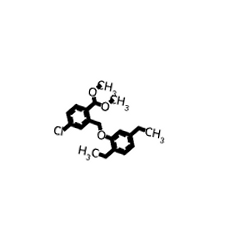 CCc1ccc(CC)c(OCc2cc(Cl)ccc2C(OC)OC)c1